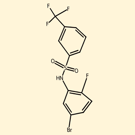 O=S(=O)(Nc1cc(Br)ccc1F)c1cccc(C(F)(F)F)c1